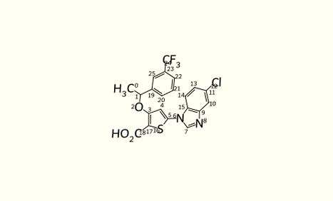 CC(Oc1cc(-n2cnc3cc(Cl)ccc32)sc1C(=O)O)c1cccc(C(F)(F)F)c1